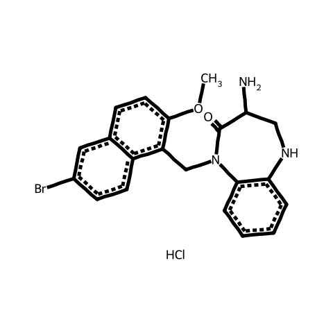 COc1ccc2cc(Br)ccc2c1CN1C(=O)C(N)CNc2ccccc21.Cl